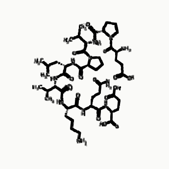 CC(C)C[C@H](NC(=O)[C@@H]1CCCN1C(=O)[C@@H](NC(=O)[C@@H]1CCCN1C(=O)[C@@H](N)CCC(=O)O)C(C)C)C(=O)N[C@H](C(=O)N[C@@H](CCCCN)C(=O)N[C@@H](CCC(N)=O)C(=O)N[C@@H](CCC(=O)O)C(=O)O)C(C)C